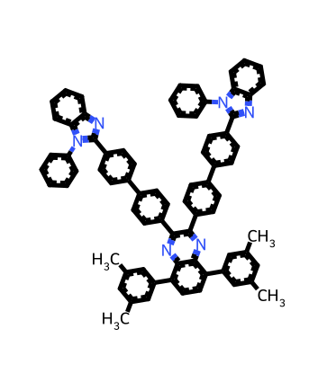 Cc1cc(C)cc(-c2ccc(-c3cc(C)cc(C)c3)c3nc(-c4ccc(-c5ccc(-c6nc7ccccc7n6-c6ccccc6)cc5)cc4)c(-c4ccc(-c5ccc(-c6nc7ccccc7n6-c6ccccc6)cc5)cc4)nc23)c1